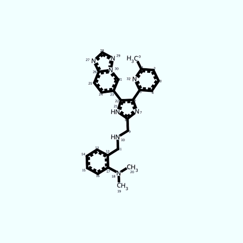 Cc1cccc(-c2nc(CNCc3ccccc3N(C)C)[nH]c2-c2ccc3ncnn3c2)n1